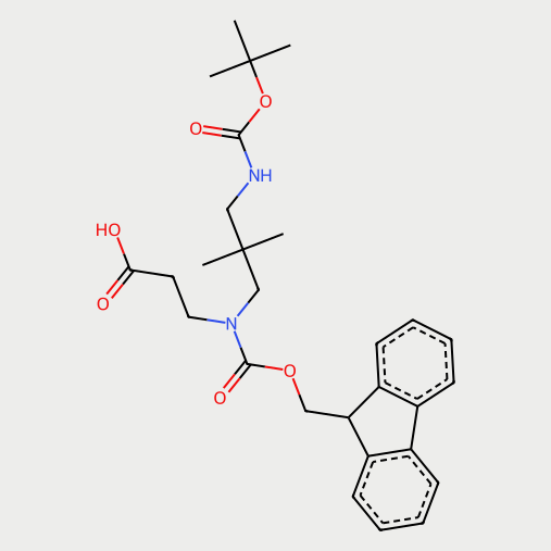 CC(C)(CNC(=O)OC(C)(C)C)CN(CCC(=O)O)C(=O)OCC1c2ccccc2-c2ccccc21